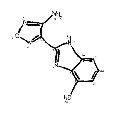 Nc1nonc1-c1nc2c(O)cccc2[nH]1